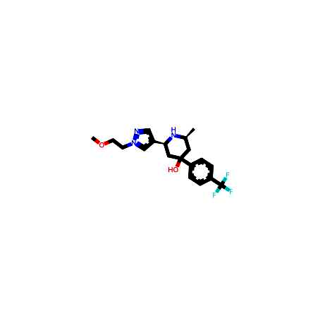 COCCn1cc([C@@H]2CC(O)(c3ccc(C(F)(F)F)cc3)C[C@H](C)N2)cn1